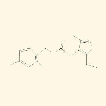 CCc1snc(C)c1NC(=O)OCc1ccc(F)cc1Cl